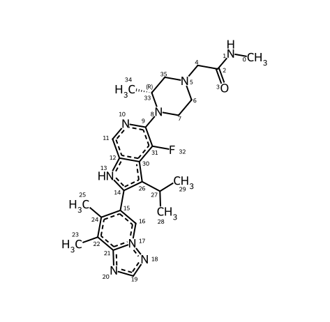 CNC(=O)CN1CCN(c2ncc3[nH]c(-c4cn5ncnc5c(C)c4C)c(C(C)C)c3c2F)[C@H](C)C1